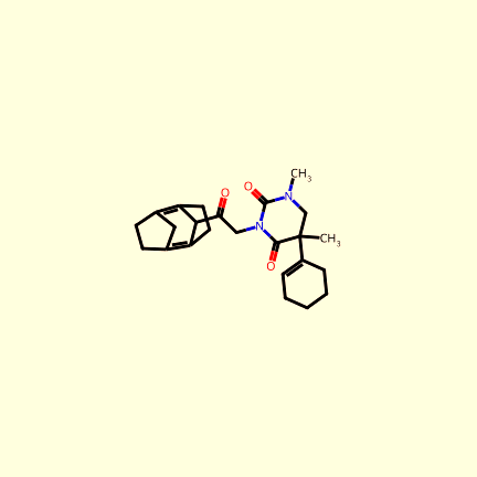 CN1CC(C)(C2=CCCCC2)C(=O)N(CC(=O)C2C3=C4CCC(=C2CC3)C4)C1=O